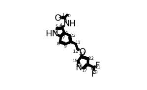 CC(=O)Nc1c[nH]c2ccc(CCOc3cncc(C(F)F)c3)cc12